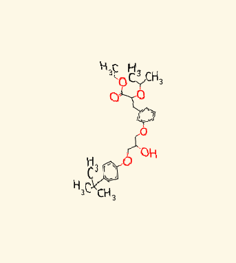 CCOC(=O)C(Cc1cccc(OCC(O)COc2ccc(C(C)(C)C)cc2)c1)OC(C)C